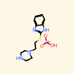 [O-][I+2]([O-])O.c1ccc2[nH]c(SCCN3CCNCC3)nc2c1